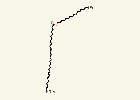 CCCCCCCCCCCCCCCCCCCCCCCCCCCCCCCCCCCCCC(=O)OCCCCCCCCCCCCCCCC(C)C